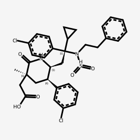 C[C@@]1(CC(=O)O)C[C@H](c2cccc(Cl)c2)[C@H](C[C@@](c2ccc(Cl)cc2)(C2CC2)N(CCc2ccccc2)[SH](=O)=O)NC1=O